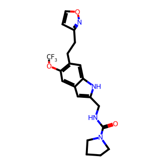 O=C(NCc1cc2cc(OC(F)(F)F)c(CCc3ccon3)cc2[nH]1)N1CCCC1